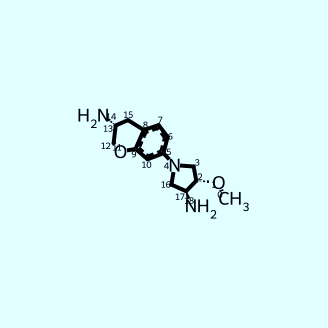 CO[C@H]1CN(c2ccc3c(c2)OC[C@H](N)C3)C[C@@H]1N